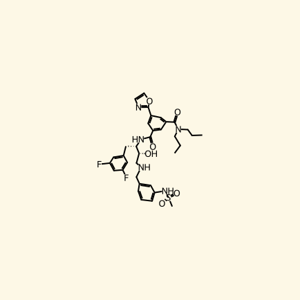 CCCN(CCC)C(=O)c1cc(C(=O)N[C@@H](Cc2cc(F)cc(F)c2)[C@H](O)CNCc2cccc(NS(C)(=O)=O)c2)cc(-c2ncco2)c1